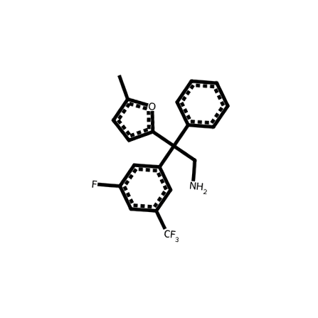 Cc1ccc(C(CN)(c2ccccc2)c2cc(F)cc(C(F)(F)F)c2)o1